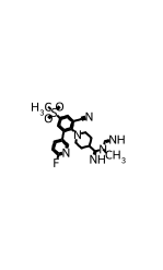 CN(C=N)C(=N)C1CCN(c2c(C#N)cc(S(C)(=O)=O)cc2-c2ccc(F)nc2)CC1